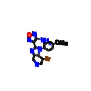 COc1ccc(-n2c(-c3nonc3N)nc3cncc(Br)c32)cc1